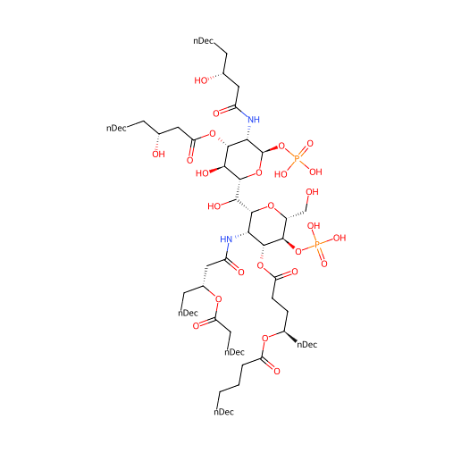 CCCCCCCCCCCCCC(=O)O[C@H](CCCCCCCCCC)CCC(=O)O[C@@H]1[C@H](NC(=O)C[C@@H](CCCCCCCCCCC)OC(=O)CCCCCCCCCCC)[C@H](C(O)[C@H]2O[C@H](OP(=O)(O)O)[C@@H](NC(=O)C[C@H](O)CCCCCCCCCCC)[C@@H](OC(=O)C[C@H](O)CCCCCCCCCCC)[C@@H]2O)O[C@H](CO)[C@H]1OP(=O)(O)O